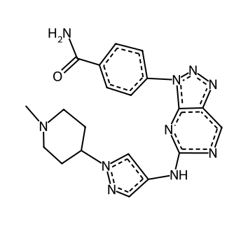 CN1CCC(n2cc(Nc3ncc4nnn(-c5ccc(C(N)=O)cc5)c4n3)cn2)CC1